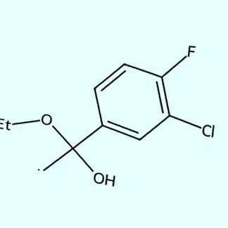 [CH2]C(O)(OCC)c1ccc(F)c(Cl)c1